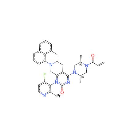 C=CC(=O)N1C[C@H](C)N(c2nc(=O)n(-c3c(F)ccnc3C(C)C)c3c2CCN(c2cccc4cccc(C)c24)C3)C[C@H]1C